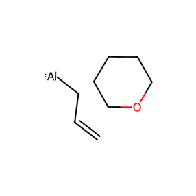 C1CCOCC1.C=C[CH2][Al]